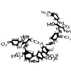 N=C(C(=O)O)/C(N=Nc1ccc(N=Nc2ccc(-c3ccc(/N=N\c4ccc(N=N/C(C(=N)C(=O)O)=C(\O)Nc5ccc(S(=O)(=O)O)cc5)c(S(=O)(=O)O)c4)cc3S(=O)(=O)O)c(S(=O)(=O)O)c2)cc1S(=O)(=O)O)=C(/O)Nc1ccc(S(=O)(=O)O)cc1